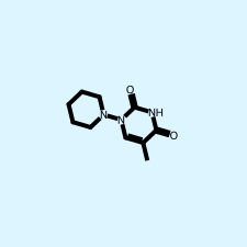 Cc1cn(N2CCCCC2)c(=O)[nH]c1=O